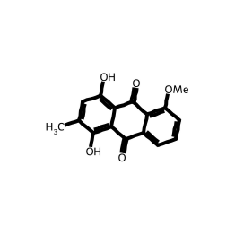 COc1cccc2c1C(=O)c1c(O)cc(C)c(O)c1C2=O